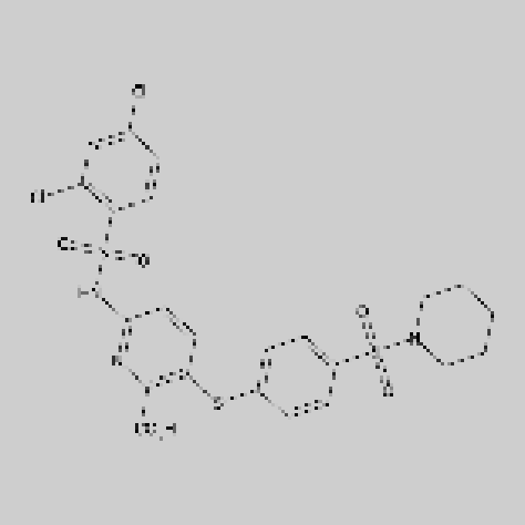 O=C(O)c1nc(NS(=O)(=O)c2ccc(Cl)cc2Cl)ccc1Sc1ccc(S(=O)(=O)N2CCCCC2)cc1